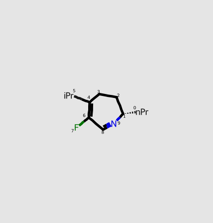 CCC[C@H]1CCC(C(C)C)=C(F)C=N1